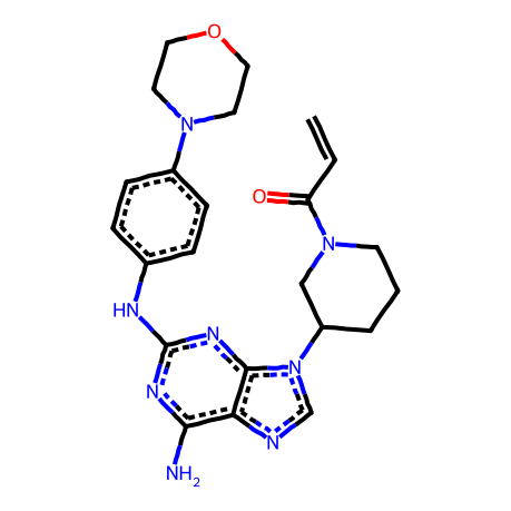 C=CC(=O)N1CCCC(n2cnc3c(N)nc(Nc4ccc(N5CCOCC5)cc4)nc32)C1